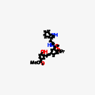 COC(=O)c1ccc(O)c(C#Cc2ccc(OC(C)C)c(C(=O)NCCc3c[nH]c4ccccc34)c2)c1